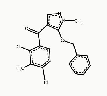 Cc1c(Cl)ccc(C(=O)c2cnn(C)c2OCc2ccccc2)c1Cl